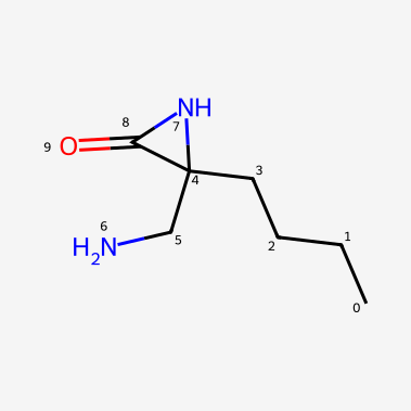 CCCCC1(CN)NC1=O